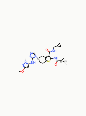 COc1cc(Nc2nncn2[C@H]2CCc3sc(NC(=O)[C@H]4C[C@@H]4C)c(C(=O)NCC4CC4)c3C2)n(C)n1